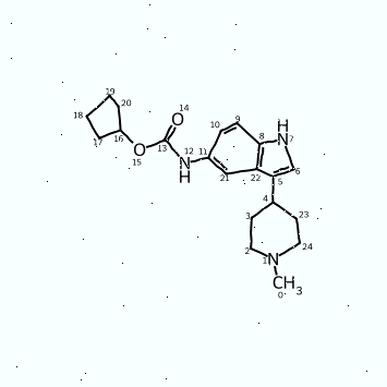 CN1CCC(c2c[nH]c3ccc(NC(=O)OC4CCCC4)cc23)CC1